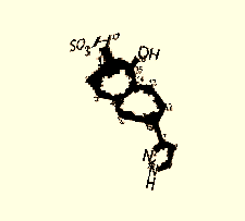 O=S(=O)(O)c1ccc2cc(-c3cc[nH]n3)ccc2c1O